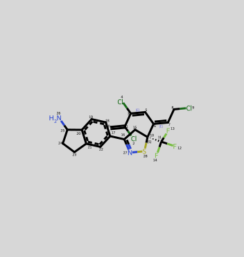 C=C(Cl)/C(Cl)=C\C(=C/CCl)[C@]1(C(F)(F)F)CC(c2ccc3c(c2)CCC3N)=NS1